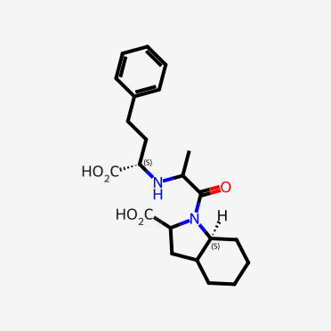 CC(N[C@@H](CCc1ccccc1)C(=O)O)C(=O)N1C(C(=O)O)CC2CCCC[C@@H]21